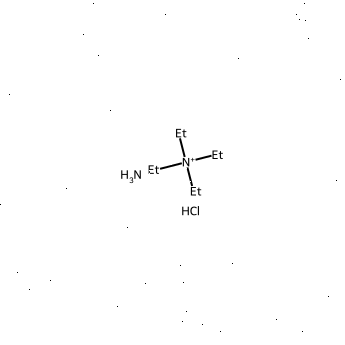 CC[N+](CC)(CC)CC.Cl.N